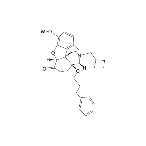 COc1ccc2c3c1O[C@H]1C(=O)CC[C@@]4(OCCCc5ccccc5)[C@@H](C2)N(CC2CCC2)CC[C@]314